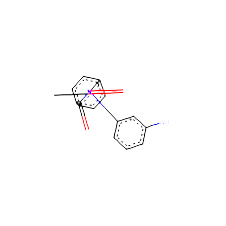 Nc1cccc(-n2c(=O)c3ccc(cc3)c2=O)c1